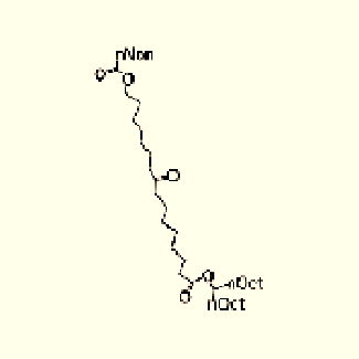 CCCCCCCCCC(=O)OCCCCCCCC(=O)CCCCCCCC(=O)OC(CCCCCCCC)CCCCCCCC